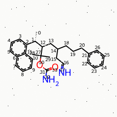 C[C@@H](c1cccc2ccccc12)C(CC(CC=N)CCCc1ccccc1)C(C)(C)OC(N)=O